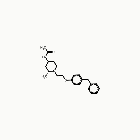 CC(=O)N[C@H]1CCN(CCOc2ccc(Cc3ccccc3)cc2)[C@H](C)C1